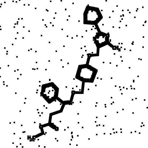 CCOC(=O)CC/C(=N/OCc1ccc(OCc2nc(-c3ccccc3)oc2C)cc1)c1cccnc1